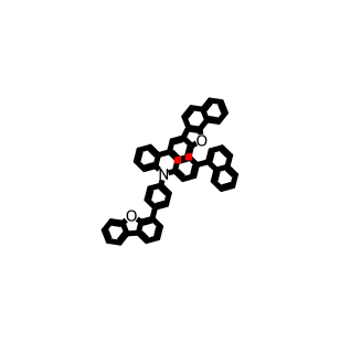 c1ccc(N(c2ccc(-c3cccc4ccccc34)cc2)c2ccc(-c3cccc4c3oc3ccccc34)cc2)c(-c2ccc3oc4c5ccccc5ccc4c3c2)c1